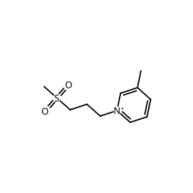 Cc1ccc[n+](CCCS(C)(=O)=O)c1